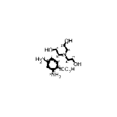 Nc1ccc(C(=O)O)c(N)c1.OCCN(CCO)CCO